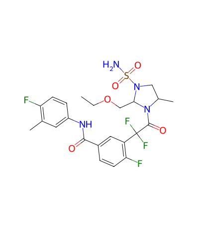 CCOCC1N(C(=O)C(F)(F)c2cc(C(=O)Nc3ccc(F)c(C)c3)ccc2F)C(C)CN1S(N)(=O)=O